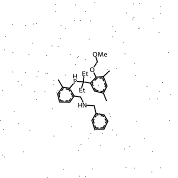 CCC(CC)(Pc1c(C)cccc1CNCc1ccccc1)c1cc(C)cc(C)c1OCOC